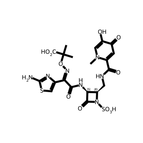 Cn1cc(O)c(=O)cc1C(=O)NC[C@@H]1[C@H](NC(=O)C(=NOC(C)(C)C(=O)O)c2csc(N)n2)C(=O)N1S(=O)(=O)O